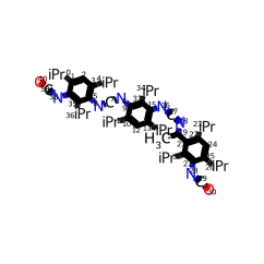 CC(C)c1cc(C(C)C)c(N=C=Nc2c(C(C)C)cc(C(C)C)c(N=C=NC(C)c3c(C(C)C)cc(C(C)C)c(N=C=O)c3C(C)C)c2C(C)C)c(C(C)C)c1N=C=O